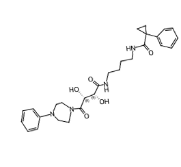 O=C(NCCCCNC(=O)C1(c2ccccc2)CC1)[C@H](O)[C@@H](O)C(=O)N1CCN(c2ccccc2)CC1